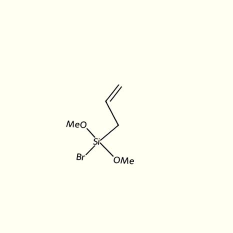 C=CC[Si](Br)(OC)OC